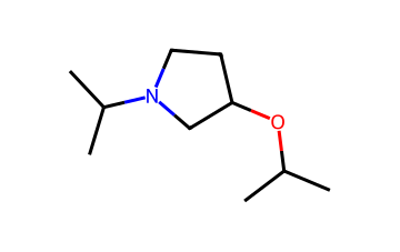 CC(C)OC1CCN(C(C)C)C1